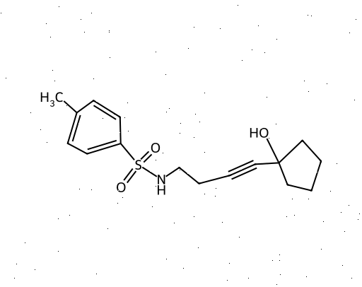 Cc1ccc(S(=O)(=O)NCCC#CC2(O)CCCC2)cc1